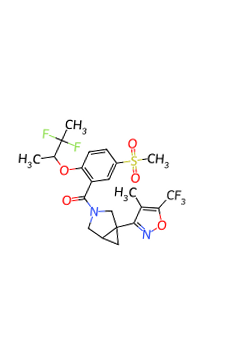 Cc1c(C23CC2CN(C(=O)c2cc(S(C)(=O)=O)ccc2OC(C)C(C)(F)F)C3)noc1C(F)(F)F